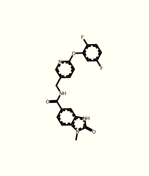 Cn1c(=O)[nH]c2cc(C(=O)NCc3ccc(Oc4cc(F)ccc4F)nc3)ccc21